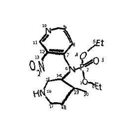 CCOP(=O)(OCC)N(c1ccncc1[N+](=O)[O-])C1CNCCC1C